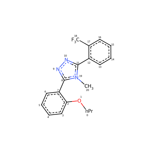 CCCOc1ccccc1-c1nnc(-c2ccccc2C(F)(F)F)n1C